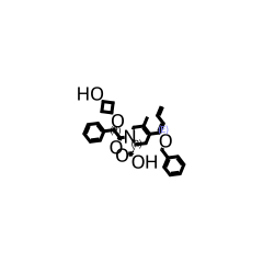 C=C/C=C(/OCc1ccccc1)C1=C(C)CN(C(=O)[C@H](O[C@H]2C[C@@H](O)C2)c2ccccc2)[C@@H](C(=O)O)C1